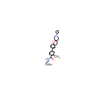 COCCNC(=O)c1ccc(-c2ccc3c(c2)CCC2(CCN(C4CCC4)CC2)O3)cc1C